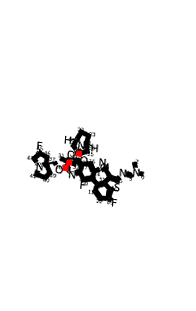 CN(C)/C=N/c1sc2c(F)ccc(-c3c(Cl)cc4c(N5C[C@H]6CC[C@@H](C5)N6C(=O)OC(C)(C)C)nc(OC[C@@]56CCCN5C[C@H](F)C6)nc4c3F)c2c1C#N